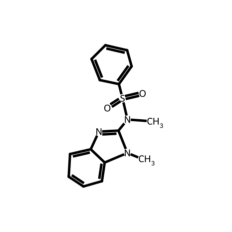 CN(c1nc2ccccc2n1C)S(=O)(=O)c1ccccc1